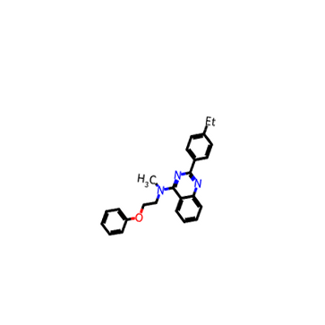 CCc1ccc(-c2nc(N(C)CCOc3ccccc3)c3ccccc3n2)cc1